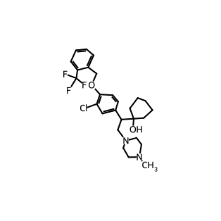 CN1CCN(CC(c2ccc(OCc3ccccc3C(F)(F)F)c(Cl)c2)C2(O)CCCCC2)CC1